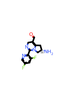 N[C@H]1CC2=C(C=O)CN=C(c3ncc(F)cc3F)N2C1